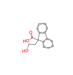 O=C(O)C1(CCO)c2ccccc2-c2ccccc21